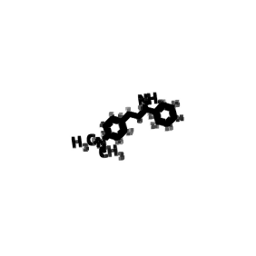 CN(C)c1ccc(CCC(N)c2ccccc2)cc1